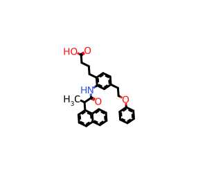 CC(C(=O)Nc1cc(CCOc2ccccc2)ccc1CCCC(=O)O)c1cccc2ccccc12